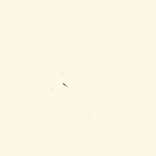 Cc1cc(C(C(=O)N2C[C@H](O)C[C@H]2C2=NOC(c3ccccc3)(c3ccccc3)N2)C(C)C)on1